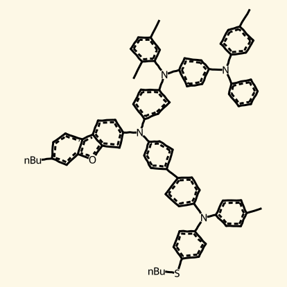 CCCCSc1ccc(N(c2ccc(C)cc2)c2ccc(-c3ccc(N(c4ccc(N(c5ccc(N(c6ccccc6)c6ccc(C)cc6)cc5)c5cc(C)ccc5C)cc4)c4ccc5c(c4)oc4cc(CCCC)ccc45)cc3)cc2)cc1